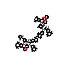 Cc1cc2c3c(c1)N(c1ccc4c(c1)C(C)(C)C(CC1(C)CCC(C)(C)c5cc6c7c(oc6cc51)B1c5ccc(-c6c(C)cccc6C)cc5N(c5cc6c(cc5-c5ccccc5)C(C)(C)CCC6(C)C)c5cc(C)cc(c51)N7c1ccc5c(c1)C(C)(C)CCC5(C)C)CC4(C)C)c1c(oc4cc5c(cc14)C(C)(C)CCC5(C)C)B3c1ccc(-c3ccccc3C)cc1N2c1cc2c(cc1-c1ccccc1)C(C)(C)CCC2(C)C